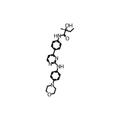 CC[C@@](C)(O)C(=O)Nc1ccc(-c2ccnc(Nc3ccc(N4CCOCC4)cc3)n2)cc1